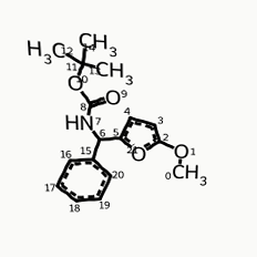 COc1ccc(C(NC(=O)OC(C)(C)C)c2ccccc2)o1